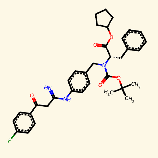 CC(C)(C)OC(=O)N(Cc1ccc(NC(=N)CC(=O)c2ccc(F)cc2)cc1)[C@@H](Cc1ccccc1)C(=O)OC1CCCC1